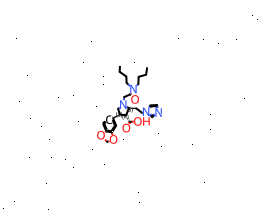 CCCCN(CCCC)C(=O)CN1C[C@H](c2ccc3c(c2)OCO3)[C@@H](C(=O)O)[C@@H]1CCn1ccnc1